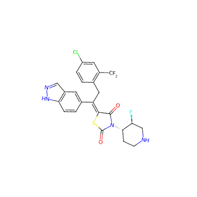 O=C1S/C(=C(/Cc2ccc(Cl)cc2C(F)(F)F)c2ccc3[nH]ncc3c2)C(=O)N1[C@H]1CCNC[C@@H]1F